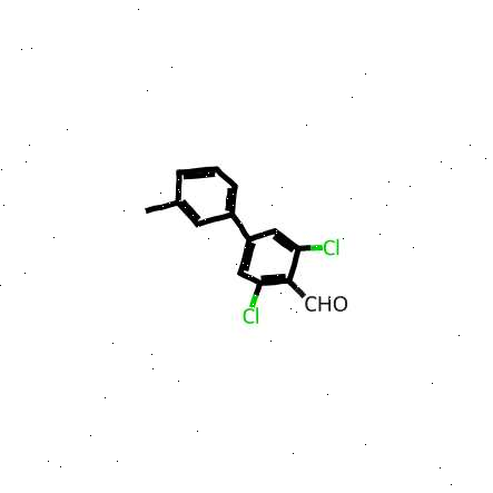 Cc1cccc(-c2cc(Cl)c(C=O)c(Cl)c2)c1